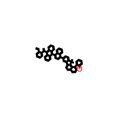 C=Cc1ccccc1C(=C)c1c2ccccc2c(-c2ccc(-c3ccc4c(c3)-c3ccc5ccc6oc7ccccc7c6c5c3C4(C)C)c3ccccc23)c2ccccc12